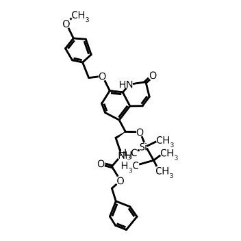 COc1ccc(COc2ccc([C@H](CNC(=O)OCc3ccccc3)O[Si](C)(C)C(C)(C)C)c3ccc(=O)[nH]c23)cc1